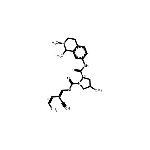 C#CC(=CNC(=O)N1CC(OC)C[C@@H]1C(=O)Nc1ccc2c(c1)C(C)N(C)CC2)/C=C\C